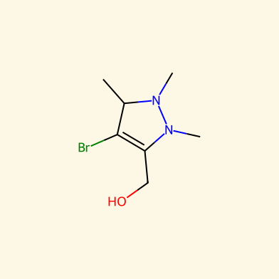 CC1C(Br)=C(CO)N(C)N1C